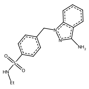 CCNS(=O)(=O)c1ccc(Cn2nc(N)c3ccccc32)cc1